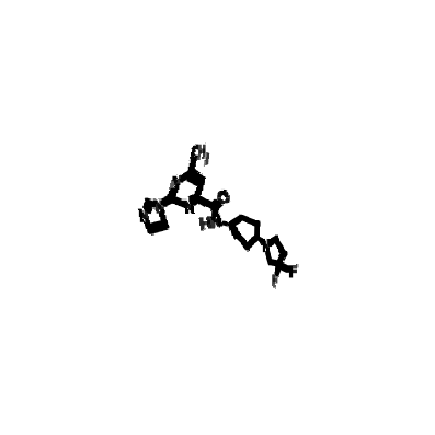 Cc1cc(C(=O)N[C@H]2CC[C@H](N3CCC(F)(F)C3)CC2)nc(-n2ccnc2)n1